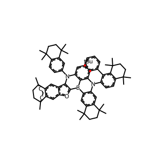 CC(C)(C)c1cc2c3c(c1)N(c1ccc4c(c1)C(C)(C)CCC4(C)C)c1c(oc4cc5c(cc14)C1(C)CCCC5(C)CC1)B3c1cc3c(cc1N2c1ccc2c(c1-c1ccccc1)C(C)(C)CCC2(C)C)C(C)(C)CCC3(C)C